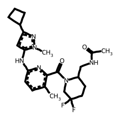 CC(=O)NCC1CCC(F)(F)CN1C(=O)c1nc(Nc2cc(C3CCC3)nn2C)ccc1C